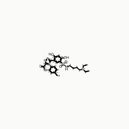 CCN(CC)CCCCNS(=O)(=O)c1cc(-c2nnc(C(N)=O)n2-c2ccc(C)cc2)c(O)cc1O